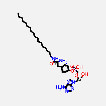 CCCCCCCCCCCCCCCCCCNC(=O)[C@@H](N)Cc1ccc(OP(=O)(O)CO[C@H](CO)Cn2cnc3c(N)ncnc32)cc1